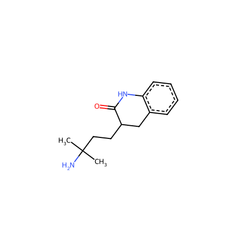 CC(C)(N)CCC1Cc2ccccc2NC1=O